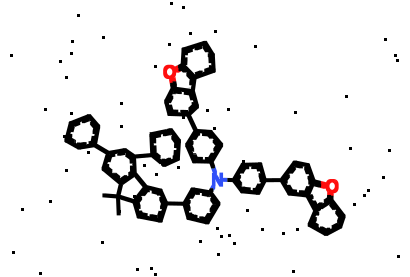 CC1(C)c2ccc(-c3cccc(N(c4ccc(-c5ccc6oc7ccccc7c6c5)cc4)c4ccc(-c5ccc6oc7ccccc7c6c5)cc4)c3)cc2-c2c(-c3ccccc3)cc(-c3ccccc3)cc21